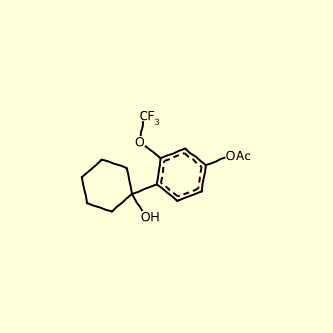 CC(=O)Oc1ccc(C2(O)CCCCC2)c(OC(F)(F)F)c1